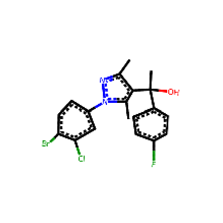 Cc1nn(-c2ccc(Br)c(Cl)c2)c(C)c1C(C)(O)c1ccc(F)cc1